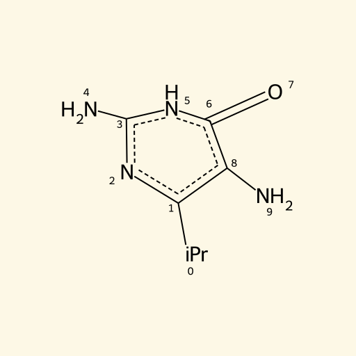 CC(C)c1nc(N)[nH]c(=O)c1N